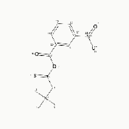 C[N+](C)(C)CC(=S)OC(=O)c1cccc([N+](=O)[O-])c1